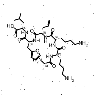 C=CC[C@H](NC(=O)[C@H](CCCCN)NC(=O)[C@H](CCCCN)NC(=O)[C@H](C)N)C(=O)N[C@@H](Cc1ccco1)C(=O)N[C@@H](CC(C)C)C(=O)O